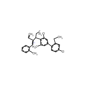 C=C/C(=C\c1ccccc1C)C(CC)c1c(C)cc(-c2ccc(Cl)cc2CC)cc1Cl